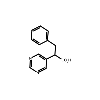 O=C(O)C(Cc1ccccc1)c1cncnc1